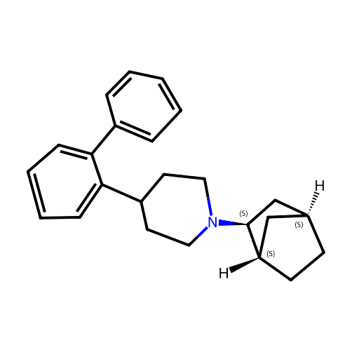 c1ccc(-c2ccccc2C2CCN([C@H]3C[C@H]4CC[C@H]3C4)CC2)cc1